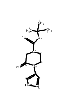 CC(C)(C)OC(=O)N1CCN(c2cn[nH]c2)C(=O)C1